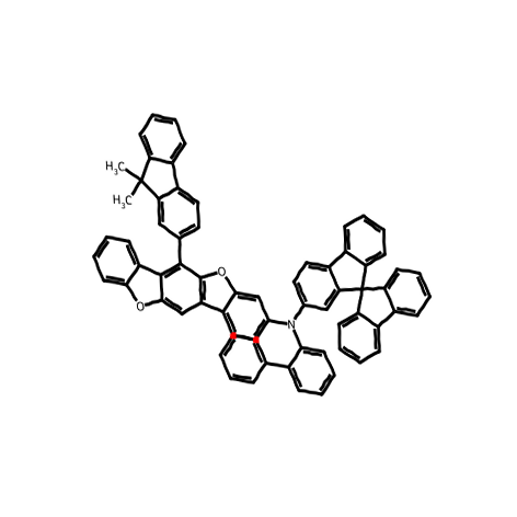 CC1(C)c2ccccc2-c2ccc(-c3c4oc5cc(N(c6ccc7c(c6)C6(c8ccccc8-c8ccccc86)c6ccccc6-7)c6ccccc6-c6ccccc6)ccc5c4cc4oc5ccccc5c34)cc21